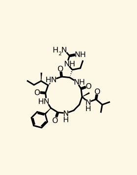 CCC(NC(=N)N)[C@@H]1NC(=O)[C@](C)(NC(=O)C(C)C)CCNC(=O)[C@@H](c2ccccc2)NC(=O)[C@H]([C@H](C)CC)NC1=O